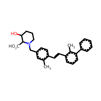 Cc1cc(CN2CCCC(O)C2C(=O)O)ccc1C=Cc1cccc(-c2ccccc2)c1C